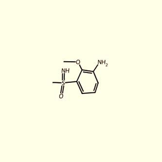 COc1c(N)cccc1S(C)(=N)=O